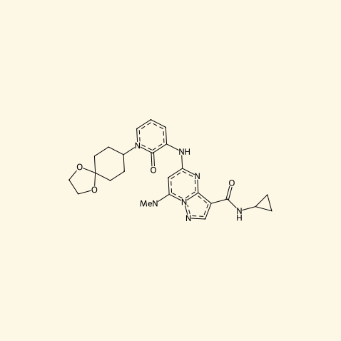 CNc1cc(Nc2cccn(C3CCC4(CC3)OCCO4)c2=O)nc2c(C(=O)NC3CC3)cnn12